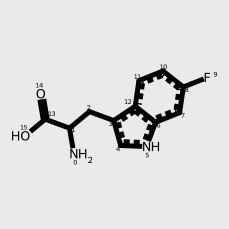 NC(Cc1c[nH]c2cc(F)ccc12)C(=O)O